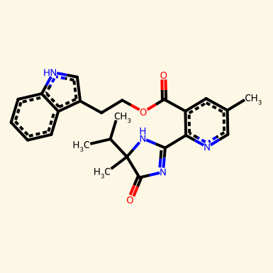 Cc1cnc(C2=NC(=O)C(C)(C(C)C)N2)c(C(=O)OCCc2c[nH]c3ccccc23)c1